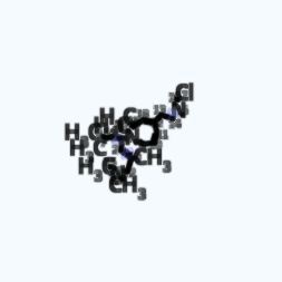 C/C(=C\C(=C/C(C)C)N1CC=CC(C/C=N\CCl)=CC1(C)C)CN(C)C